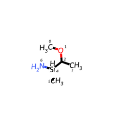 COC(C)[SiH](C)N